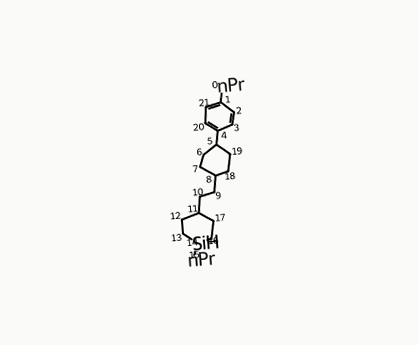 CCCc1ccc(C2CCC(CCC3CC[SiH](CCC)CC3)CC2)cc1